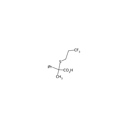 CC(C)C(C)(SCCC(F)(F)F)C(=O)O